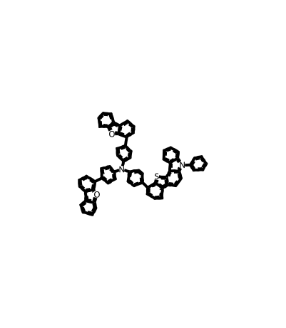 c1ccc(-n2c3ccccc3c3c4sc5c(-c6ccc(N(c7ccc(-c8cccc9c8oc8ccccc89)cc7)c7ccc(-c8cccc9c8oc8ccccc89)cc7)cc6)cccc5c4ccc32)cc1